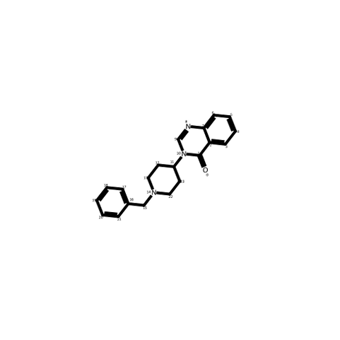 O=c1c2ccccc2ncn1C1CCN(Cc2ccccc2)CC1